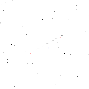 CCCCC(CC)C(=O)OCCCCCCCCN(CCCCCCCCOC(=O)C(CC)CCC)CCN(C)C